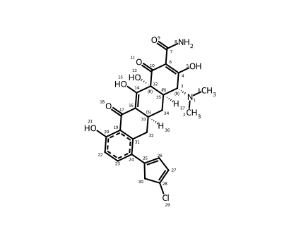 CN(C)[C@H]1C(O)=C(C(N)=O)C(=O)[C@]2(O)C(O)=C3C(=O)c4c(O)ccc(C5=CC=C(Cl)C5)c4C[C@@H]3C[C@H]12